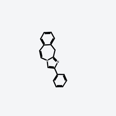 C1=Cn2cc(-c3ccccc3)nc2Cc2ccccc21